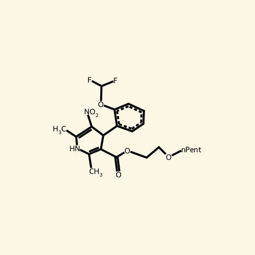 CCCCCOCCOC(=O)C1=C(C)NC(C)=C([N+](=O)[O-])C1c1ccccc1OC(F)F